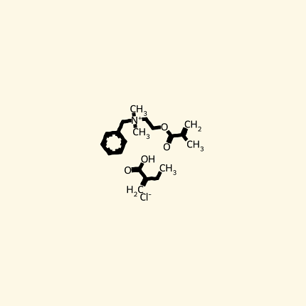 C=C(C)C(=O)OCC[N+](C)(C)Cc1ccccc1.C=C(CC)C(=O)O.[Cl-]